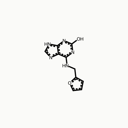 Oc1nc(NCc2ccco2)c2nc[nH]c2n1